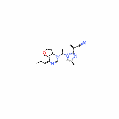 C=C(C#N)c1nc(C)cn1C(C)N(/C=N\C(=C\CC)CC)C1CCOC1